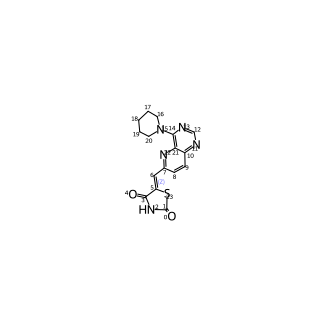 O=C1NC(=O)/C(=C/c2ccc3ncnc(N4CCCCC4)c3n2)S1